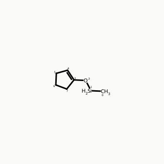 C[SiH2]OC1=CCCC1